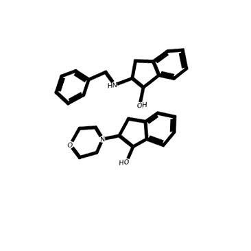 OC1c2ccccc2CC1N1CCOCC1.OC1c2ccccc2CC1NCc1ccccc1